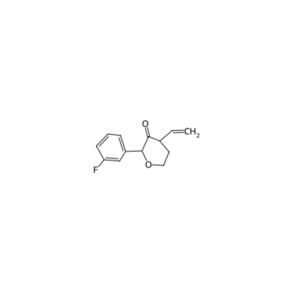 C=CC1CCOC(c2cccc(F)c2)C1=O